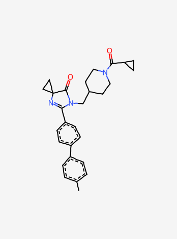 Cc1ccc(-c2ccc(C3=NC4(CC4)C(=O)N3CC3CCN(C(=O)C4CC4)CC3)cc2)cc1